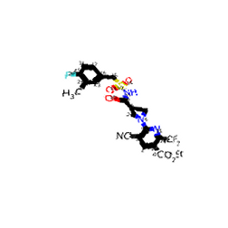 CCOC(=O)c1cc(C#N)c(N2CC(C(=O)NS(=O)(=O)Cc3ccc(F)c(C)c3)C2)nc1C(F)(F)F